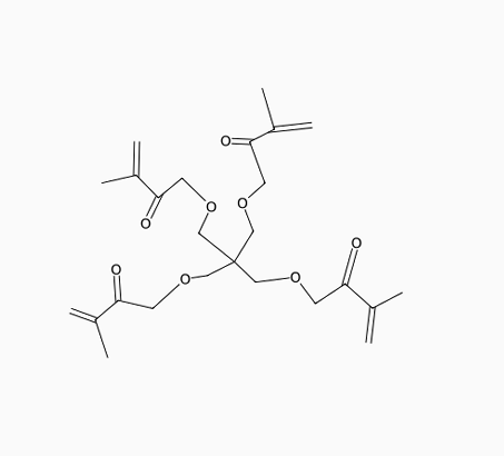 C=C(C)C(=O)COCC(COCC(=O)C(=C)C)(COCC(=O)C(=C)C)COCC(=O)C(=C)C